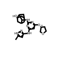 Cc1cc(Nc2cc(O[C@@H]3CCOC3)nc(NC3C4CC5CC3C(O)(C5)C4)n2)n[nH]1